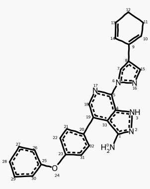 Nc1n[nH]c2c(-n3cc(C4=CCCC=C4)cn3)ncc(-c3ccc(Oc4ccccc4)cc3)c12